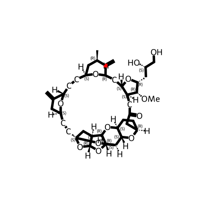 C=C1C[C@@H]2CC[C@]34C[C@@H]5[C@H](O[C@H]6[C@@H](O3)[C@H]3O[C@H](CC[C@@H]3O[C@H]56)CC(=O)C[C@@H]3[C@@H](OC)[C@@H](C[C@H](O)CO)O[C@H]3C[C@H]3O[C@@H](CC[C@@H]1O2)C[C@@H](C)C3=C)O4